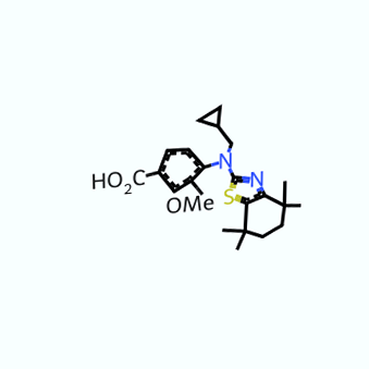 COc1cc(C(=O)O)ccc1N(CC1CC1)c1nc2c(s1)C(C)(C)CCC2(C)C